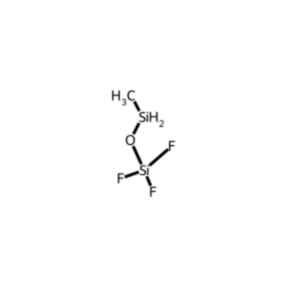 C[SiH2]O[Si](F)(F)F